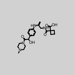 C=C(CNC(=O)C1(C(=O)O)CCC1)Nc1ccc(C(O)C(=O)N2CCN(C)CC2)cc1